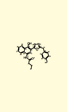 CCCC(=O)Nc1nc(-c2nnc(Cc3ccc(F)cc3)o2)c(O)c2ncccc12